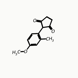 COc1ccc(C2C(=O)CCC2=O)c(C)c1